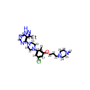 CCc1n[nH]c2ncnc(N3CCN(c4cc(Cl)cc(OCCCN5CCN(C)CC5)c4C)CC3)c12